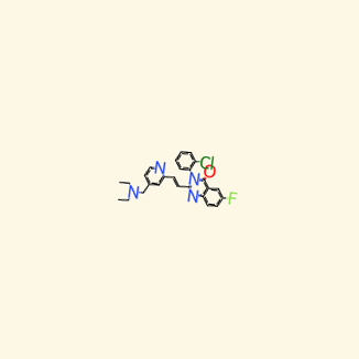 CCN(CC)Cc1ccnc(/C=C/c2nc3ccc(F)cc3c(=O)n2-c2ccccc2Cl)c1